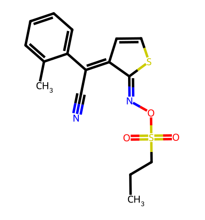 CCCS(=O)(=O)ON=C1SC=CC1=C(C#N)c1ccccc1C